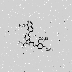 CCOC(=O)Cc1cc(COC)ccc1OCc1nn(C(CC)CC)c2ccc(-c3ccc4ccnc(N)c4c3)cc12